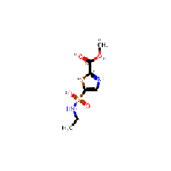 CCNS(=O)(=O)c1cnc(C(=O)OC)s1